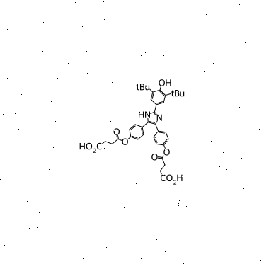 CC(C)(C)c1cc(-c2nc(-c3ccc(OC(=O)CCC(=O)O)cc3)c(-c3ccc(OC(=O)CCC(=O)O)cc3)[nH]2)cc(C(C)(C)C)c1O